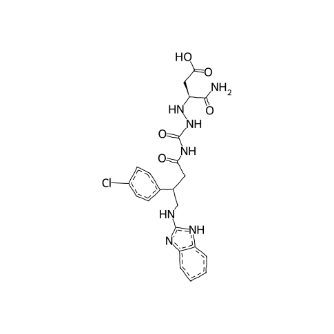 NC(=O)[C@H](CC(=O)O)NNC(=O)NC(=O)CC(CNc1nc2ccccc2[nH]1)c1ccc(Cl)cc1